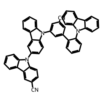 N#Cc1cc(-c2ccccc2-n2c3ccccc3c3ccccc32)cc(-n2c3ccccc3c3cc(-n4c5ccccc5c5cc(C#N)ccc54)ccc32)c1